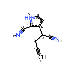 C#CC[C](C#N)c1cc[nH]c1C#N